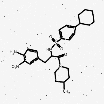 CC1CCN(C(=O)C(Cc2ccc(N)c([N+](=O)[O-])c2)NS(=O)(=O)c2ccc(C3CCCCC3)cc2)CC1